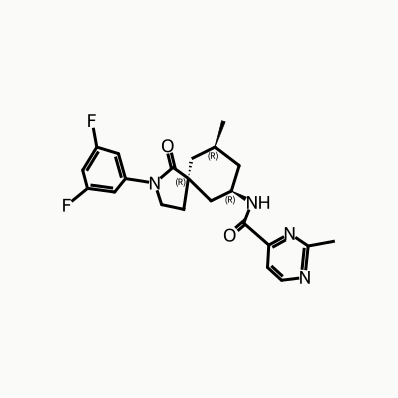 Cc1nccc(C(=O)N[C@@H]2C[C@H](C)C[C@@]3(CCN(c4cc(F)cc(F)c4)C3=O)C2)n1